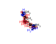 CO[C@@H]1C(O)[C@H](n2cnc3c(=O)[nH]c(C)nc32)O[C@@H]1COP(=O)(O)OP(=O)(O)OP(O)(=S)OC[C@H]1O[C@@H](n2c[n+](C)c3c(=O)[nH]c(N)nc32)C(O)[C@H]1O